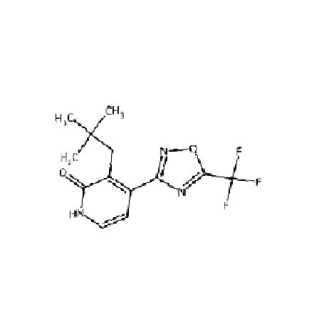 CC(C)(C)Cc1c(-c2noc(C(F)(F)F)n2)cc[nH]c1=O